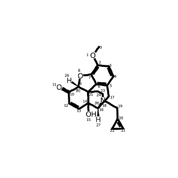 COc1ccc2c3c1O[C@H]1C(=O)C=CC4(O)[C@@H](C2)N(CC2=CC2)CCC314